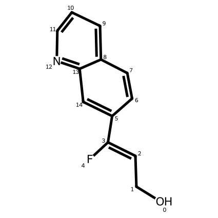 OC/C=C(\F)c1ccc2cccnc2c1